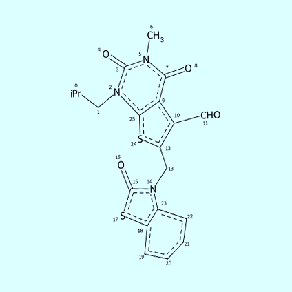 CC(C)Cn1c(=O)n(C)c(=O)c2c(C=O)c(Cn3c(=O)sc4ccccc43)sc21